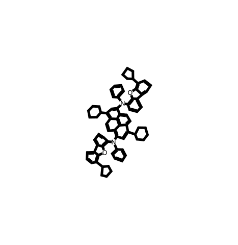 c1ccc(N(c2cc(C3CCCCC3)c3ccc4c(N(c5ccccc5)c5cccc6c5oc5c(C7CCCC7)cccc56)cc(C5CCCCC5)c5ccc2c3c54)c2cccc3c2oc2c(C4CCCC4)cccc23)cc1